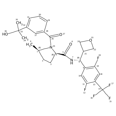 C[C@@H]1CC[C@H](C(=O)N[C@@H](c2cc(F)c(C(F)(F)F)cc2F)C2COC2)N1C(=O)c1cccc(C(C)(C)O)c1